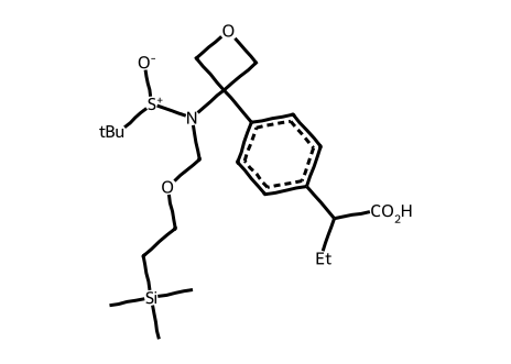 CCC(C(=O)O)c1ccc(C2(N(COCC[Si](C)(C)C)[S+]([O-])C(C)(C)C)COC2)cc1